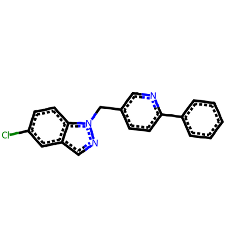 Clc1ccc2c(cnn2Cc2ccc(-c3ccccc3)nc2)c1